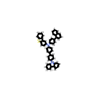 c1ccc2c(-c3ccc(N(c4ccc(-c5ccc(-n6c7ccccc7c7ccccc76)cc5)cc4)c4ccc5sc6ccccc6c5c4)cc3)cccc2c1